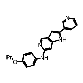 CC(C)Oc1ccc(Nc2cc3[nH]c(-c4cccnc4)cc3cn2)cc1